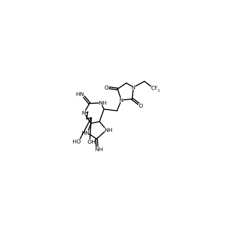 N=C1NC2C(CN3C(=O)CN(CC(F)(F)F)C3=O)NC(=N)N3CCC(O)(O)C23N1